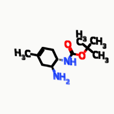 CC1=CC[C@H](NC(=O)OC(C)(C)C)[C@@H](N)C1